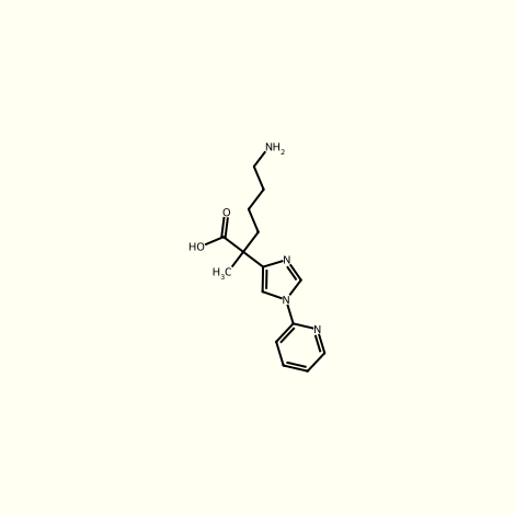 CC(CCCCN)(C(=O)O)c1cn(-c2ccccn2)cn1